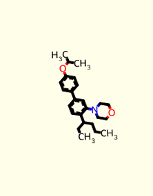 CCCC(CC)c1ccc(-c2ccc(OC(C)C)cc2)cc1N1CCOCC1